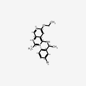 CCOc1cc2c(NC(C)c3cccc(Br)c3)nc(C)nc2cn1